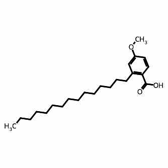 CCCCCCCCCCCCCCCc1cc(OC)ccc1C(=O)O